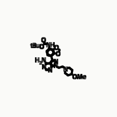 COC1CCN(CCn2nc(-c3ccc(NC(=O)OC(C)(C)C)c4c3OCO4)c3c(N)ncnc32)CC1